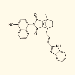 CC12CCC(CC=Cc3nc4ccccc4[nH]3)(O1)C1C(=O)N(c3ccc(C#N)c4ccccc34)C(=O)C12